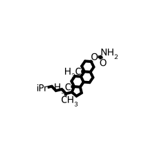 CC(C)CCCC(C)C1CCC2C3CCC4CC(OC(N)=O)CCC4(C)C3CCC12C